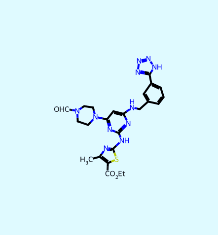 CCOC(=O)c1sc(Nc2nc(NCc3cccc(-c4nnn[nH]4)c3)cc(N3CCN(C=O)CC3)n2)nc1C